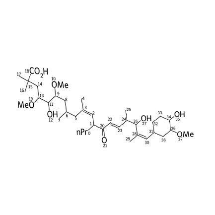 CCCC(C=C(C)CC(C)CC(OC)C(O)C(CC(C)(C)C(=O)O)OC)C(=O)C=CC(C)C(O)C(C)=CC1CCC(O)C(OC)C1